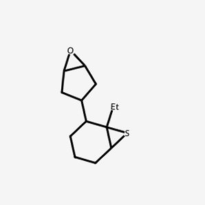 CCC12SC1CCCC2C1CC2OC2C1